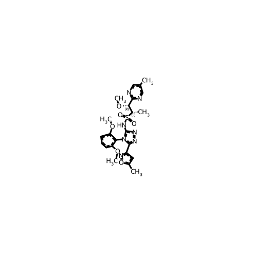 COc1cccc(OC)c1-n1c(NS(=O)(=O)[C@@H](C)[C@H](OC)c2ncc(C)cn2)nnc1-c1cc(C)on1